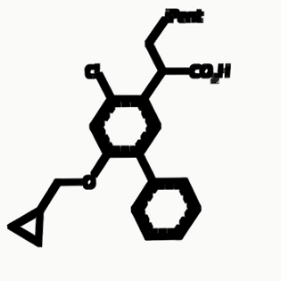 CCCC(C)CC(C(=O)O)c1cc(-c2ccccc2)c(OCC2CC2)cc1Cl